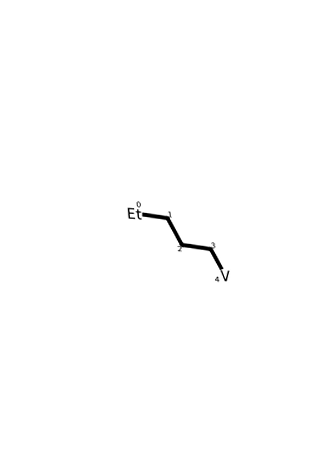 CCCC[CH2][V]